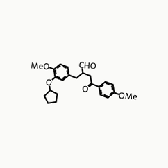 COc1ccc(C(=O)CC(C=O)Cc2ccc(OC)c(OC3CCCC3)c2)cc1